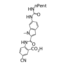 CCCCCNC(=O)Nc1ccc2cc(C(=O)Nc3ccc(C#N)cc3C(=O)O)n(C)c2c1